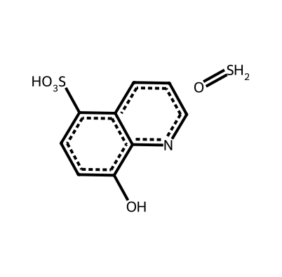 O=S(=O)(O)c1ccc(O)c2ncccc12.O=[SH2]